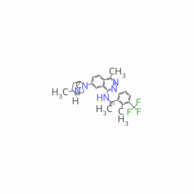 Cc1c([C@@H](C)Nc2nnc(C)c3ccc(N4C[C@H]5CCC4CN5C)cc23)cccc1C(F)(F)F